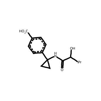 CC(C)C(O)C(=O)NC1(c2ccc(C(=O)O)cc2)CC1